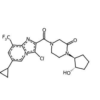 O=C(c1nc2c(C(F)(F)F)cc(C3CC3)cn2c1Cl)N1CCN([C@H]2CCC[C@@H]2O)C(=O)C1